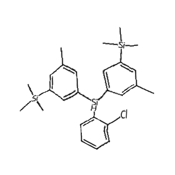 Cc1cc([SiH](c2cc(C)cc([Si](C)(C)C)c2)c2ccccc2Cl)cc([Si](C)(C)C)c1